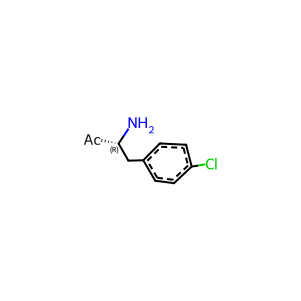 CC(=O)[C@H](N)Cc1ccc(Cl)cc1